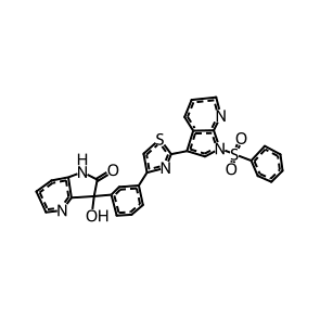 O=C1Nc2cccnc2C1(O)c1cccc(-c2csc(-c3cn(S(=O)(=O)c4ccccc4)c4ncccc34)n2)c1